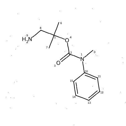 CN(C(=O)OC(C)(C)CN)c1ccccc1